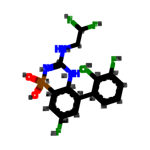 O=S1(=O)N=C(NCC(F)F)Nc2c(-c3cccc(F)c3Cl)cc(F)cc21